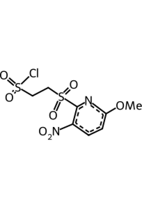 COc1ccc([N+](=O)[O-])c(S(=O)(=O)CCS(=O)(=O)Cl)n1